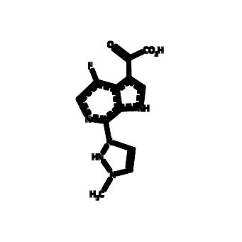 CN1C=CN(c2ncc(F)c3c(C(=O)C(=O)O)c[nH]c23)N1